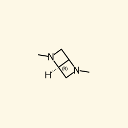 CN1C[C@@H]2C1CN2C